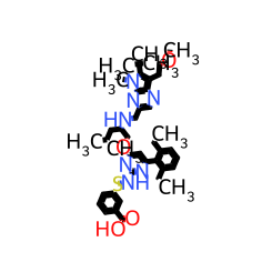 CCc1cccc(CC)c1-c1cc(OCC(CC(C)C)NCc2cnc3c(CCOC)c(C(C)(C)C)n(C)c3n2)nc(NSc2cccc(C(=O)O)c2)n1